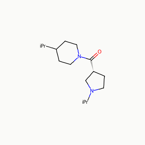 CC(C)C1CCN(C(=O)[C@@H]2CCN(C(C)C)C2)CC1